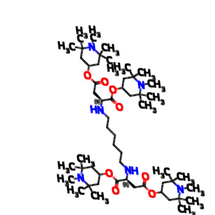 CN1C(C)(C)CC(OC(=O)C[C@H](NCCCCCCN[C@@H](CC(=O)OC2CC(C)(C)N(C)C(C)(C)C2)C(=O)OC2CC(C)(C)N(C)C(C)(C)C2)C(=O)OC2CC(C)(C)N(C)C(C)(C)C2)CC1(C)C